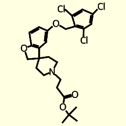 CC(C)(C)OC(=O)CCN1CCC2(CC1)COc1ccc(OCc3c(Cl)cc(Cl)cc3Cl)cc12